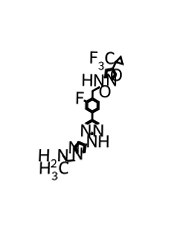 CC(N)Cn1cc(Nc2ncc(-c3ccc(CC(=O)Nc4cc(C5(C(F)(F)F)CC5)on4)c(F)c3)cn2)cn1